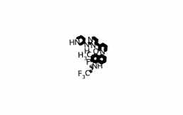 Cc1c(F)c(NSCC(F)(F)F)c2ccccc2c1Oc1ncccc1-c1ccnc(N[C@H]2CCCNC2)n1